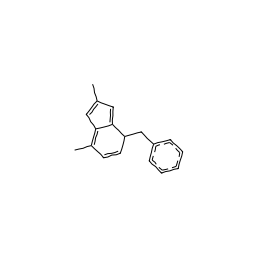 CC1=CC2=C(C)C=CC(Cc3ccccc3)C2=C1